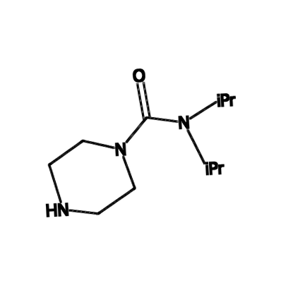 CC(C)N(C(=O)N1CCNCC1)C(C)C